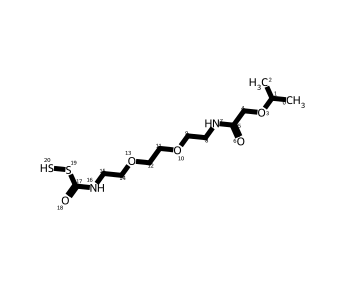 CC(C)OCC(=O)NCCOCCOCCNC(=O)SS